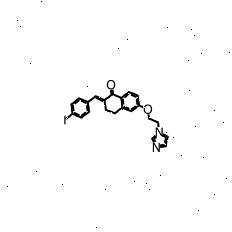 O=C1/C(=C/c2ccc(I)cc2)CCc2cc(OCCn3ccnc3)ccc21